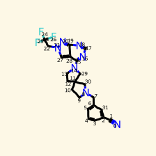 N#Cc1cccc(CN2CCC3(CCN(c4ncnc5nn(CC(F)(F)F)cc45)C3)C2)c1